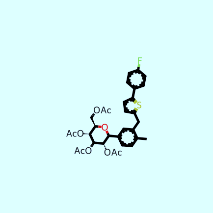 CC(=O)OC[C@H]1OC(c2ccc(C)c(Cc3ccc(-c4ccc(F)cc4)s3)c2)[C@H](OC(C)=O)C(OC(C)=O)[C@@H]1OC(C)=O